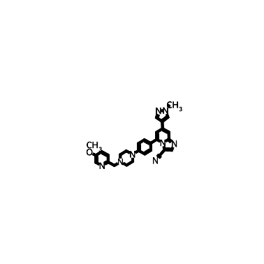 COc1ccc(CN2CCN(c3ccc(-c4cc(-c5cnn(C)c5)cc5ncc(C#N)n45)cc3)CC2)nc1